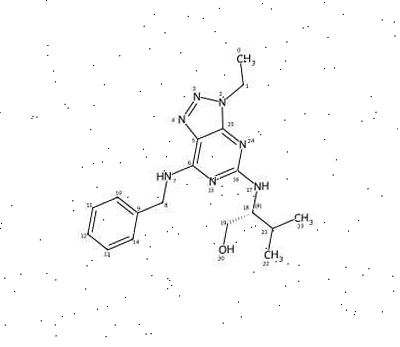 CCn1nnc2c(NCc3ccccc3)nc(N[C@@H](CO)C(C)C)nc21